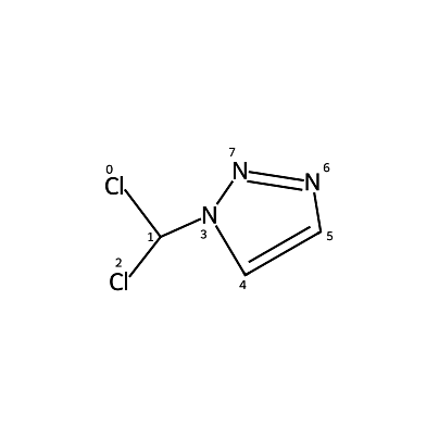 ClC(Cl)n1ccnn1